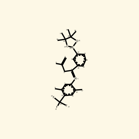 C=C(C)C/C(=N\c1cc(C)c(C(F)(F)F)cc1C)c1cccc(B2OC(C)(C)C(C)(C)O2)c1